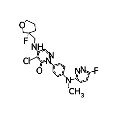 CCN(c1ccc(-n2ncc(NC[C@]3(F)CCCOC3)c(Cl)c2=O)cc1)c1ccc(F)nn1